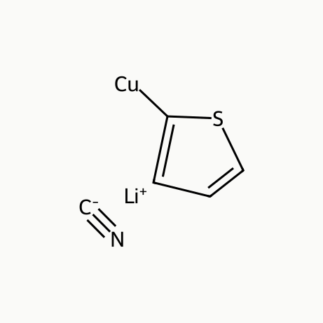 [C-]#N.[Cu][c]1cccs1.[Li+]